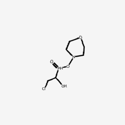 O=[PH](ON1CCOCC1)C(O)CCl